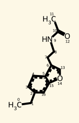 CCc1ccc2c(CCNC(C)=O)coc2c1